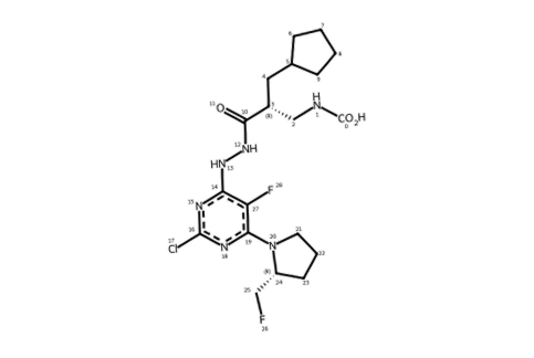 O=C(O)NC[C@@H](CC1CCCC1)C(=O)NNc1nc(Cl)nc(N2CCC[C@@H]2CF)c1F